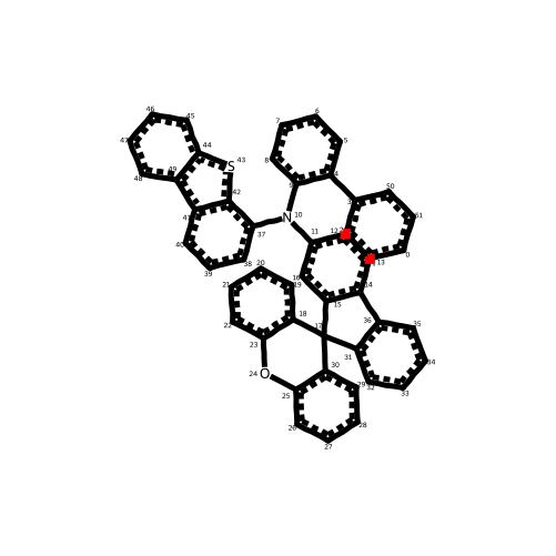 c1ccc(-c2ccccc2N(c2ccc3c(c2)C2(c4ccccc4Oc4ccccc42)c2ccccc2-3)c2cccc3c2sc2ccccc23)cc1